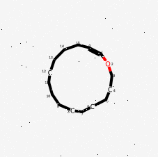 C1=COCCCCCCCCCCCCC1